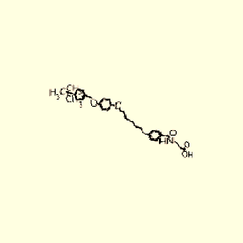 CC(C)(C)c1ccc(COc2ccc(OCCCCCCCc3ccc(C(=O)NCCC(=O)O)cc3)cc2)cc1